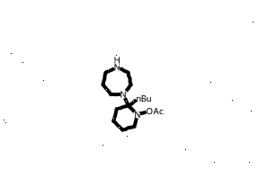 CCCCC1(N2CCCNCC2)CCCCN1OC(C)=O